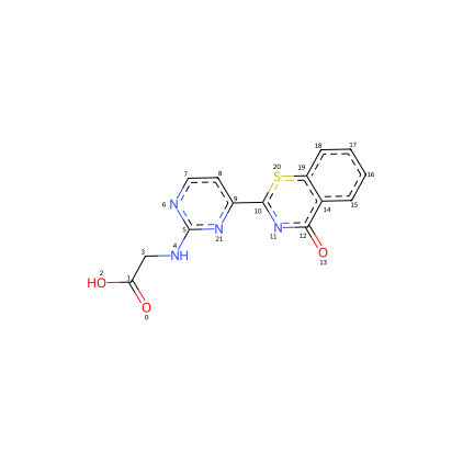 O=C(O)CNc1nccc(-c2nc(=O)c3ccccc3s2)n1